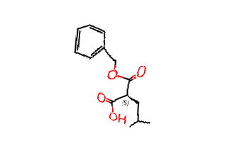 CC(C)C[C@@H](C(=O)O)C(=O)OCc1ccccc1